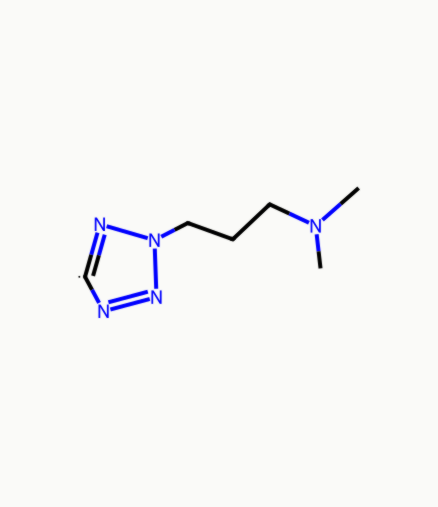 CN(C)CCCn1n[c]nn1